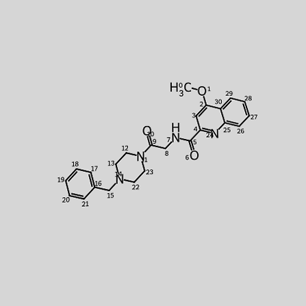 COc1cc(C(=O)NCC(=O)N2CCN(Cc3ccccc3)CC2)nc2ccccc12